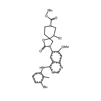 CCC(C)c1cccc(Nc2ncnc3cc(OC)c(N4CC5(CCN(C(=O)OC(C)(C)C)CC5CC)OC4=O)cc23)c1C